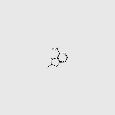 CC1Cc2cccc(N)c2S1